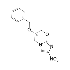 O=[N+]([O-])c1cn2c(n1)OC[C@@H](OCc1ccccc1)C2